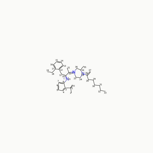 C=C(C)c1ccccc1/N=C(\Cc1ccccc1CC)C(C)N1CCN(C(=C)CCCCCC)C(C)C1